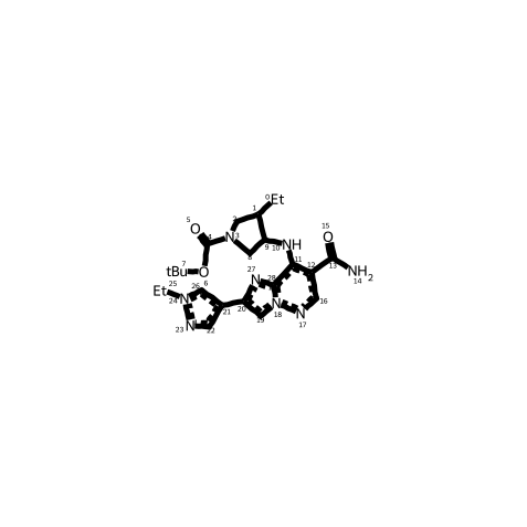 CCC1CN(C(=O)OC(C)(C)C)CC1Nc1c(C(N)=O)cnn2cc(-c3cnn(CC)c3)nc12